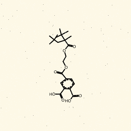 CC(C)(C)CC(C)(C(=O)OCCOC(=O)c1ccc(C(=O)O)c(C(=O)O)c1)C(C)(C)C